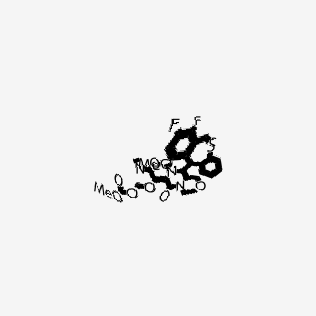 C=NC(=O)/C(OCOC(=O)OC)=C1/C(=O)N2CCOCC2C(C2c3ccccc3SCc3c2ccc(F)c3F)N1OC